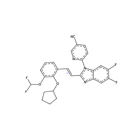 N#Cc1ccc(-n2c(/C=C/c3cccc(OC(F)F)c3OC3CCCC3)nc3cc(F)c(F)cc32)nc1